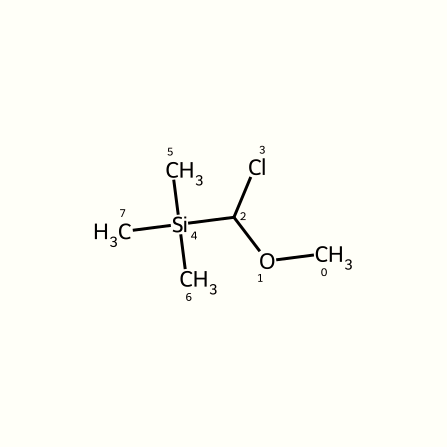 COC(Cl)[Si](C)(C)C